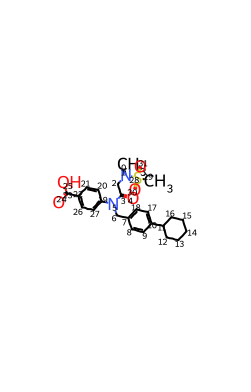 CN(CC(=O)N(Cc1ccc(C2CCCCC2)cc1)c1ccc(C(=O)O)cc1)S(C)(=O)=O